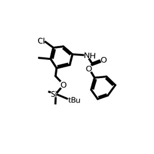 Cc1c(Cl)cc(NC(=O)Oc2ccccc2)cc1CO[Si](C)(C)C(C)(C)C